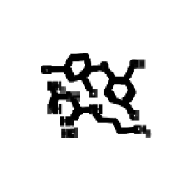 CCCCNC(=N)NC(=N)N.Cl.Oc1cc(Cl)ccc1Oc1ccc(Cl)cc1Cl